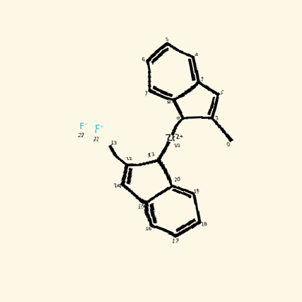 CC1=Cc2ccccc2[CH]1[Zr+2][CH]1C(C)=Cc2ccccc21.[F-].[F-]